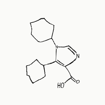 O=C(O)c1ncn(C2CCCCC2)c1C1CCCCC1